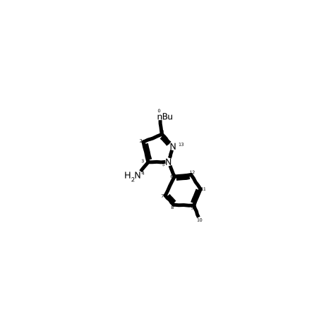 CCCCc1cc(N)n(-c2ccc(C)cc2)n1